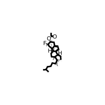 CC(=O)O[C@@H]1CC2=CC=C3[C@@H]4CC[C@H]([C@H](C)CCCC(C)C)[C@@]4(C)CC[C@@H]3[C@@]2(C)C[C@H]1F